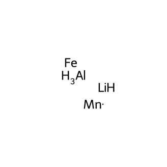 [AlH3].[Fe].[LiH].[Mn]